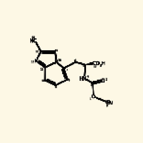 CC(C)(C)OC(=O)N[C@@H](Cc1cccc2nc(C#N)cn12)C(=O)O